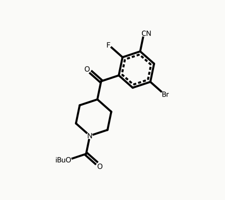 CC(C)COC(=O)N1CCC(C(=O)c2cc(Br)cc(C#N)c2F)CC1